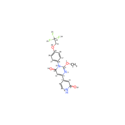 COc1nc(-c2cc[nH]c(=O)c2)cc(=O)n1-c1ccc(OCC(F)(F)F)cc1